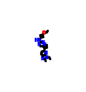 CCO[C@H]1C[C@@H](Nc2ncc3c(-c4ccc5nc(C)n(CC)c5n4)ccn3n2)C1